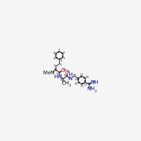 CN[C@H](CCc1ccccc1)C(=O)N[C@@H](C)C(=O)NCc1ccc(C(=N)N)cc1